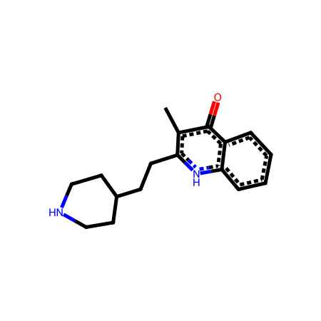 Cc1c(CCC2CCNCC2)[nH]c2ccccc2c1=O